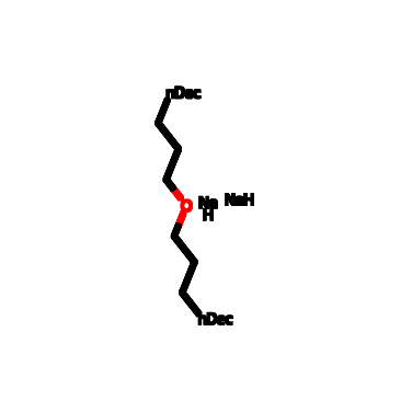 CCCCCCCCCCCCCOCCCCCCCCCCCCC.[NaH].[NaH]